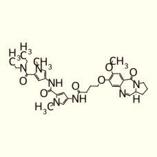 CCN(CC)C(=O)c1cc(NC(=O)c2cc(NC(=O)CCCOc3cc4c(cc3OC)C(=O)N3CCC[C@H]3C=N4)cn2C)cn1C